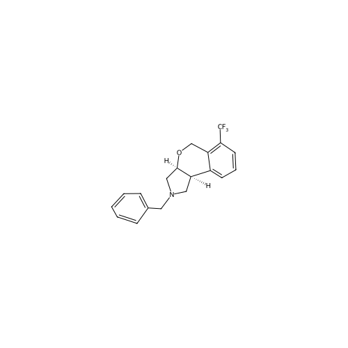 FC(F)(F)c1cccc2c1CO[C@@H]1CN(Cc3ccccc3)C[C@H]21